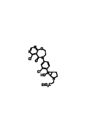 CCOC(=O)CN1CCC2C1[N+]2(O)c1ccc(N2CCOc3ncnc(Cl)c3C2=O)cc1Cl